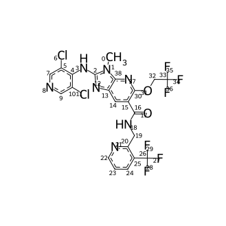 Cn1c(Nc2c(Cl)cncc2Cl)nc2cc(C(=O)NCc3ncccc3C(F)(F)F)c(OCC(F)(F)F)nc21